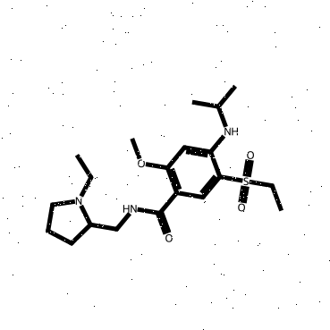 CCN1CCCC1CNC(=O)c1cc(S(=O)(=O)CC)c(NC(C)C)cc1OC